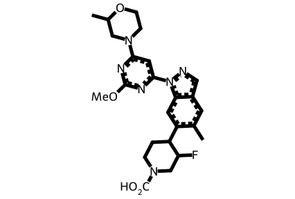 COc1nc(N2CCOC(C)C2)cc(-n2ncc3cc(C)c(C4CCN(C(=O)O)CC4F)cc32)n1